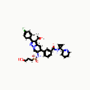 COC(=O)c1c(-c2ccc(F)cc2)nn2cc(NS(=O)(=O)CCCO)c(-c3cccc(C(=O)NC4(c5ccccn5)CC4)c3)cc12